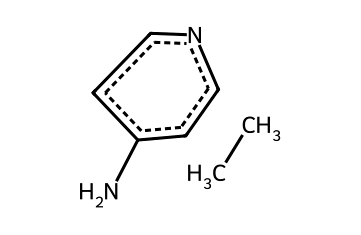 CC.Nc1ccncc1